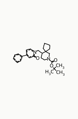 CC(C)(C)OC(=O)N1CCC(Cn2ccc(-c3ccccc3)cc2=O)C2(CCCC2)C1